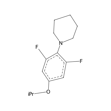 CC(C)Oc1cc(F)c(N2CCCCC2)c(F)c1